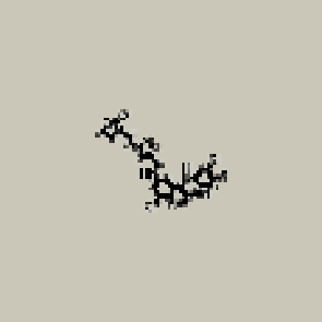 N#Cc1cnc2c(Cl)cc(NCc3cn(CCN4CCOC4=O)nn3)cc2c1Nc1ccc(F)c(Cl)c1